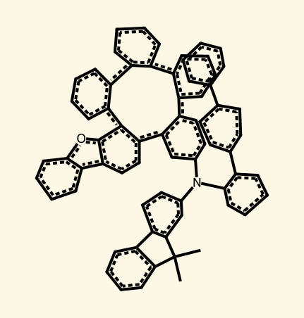 CC1(C)c2ccccc2-c2ccc(N(c3ccc4c5ccccc5c5ccccc5c5ccccc5c5c(ccc6c7ccccc7oc65)c4c3)c3ccccc3-c3ccc(-c4ccccc4)cc3)cc21